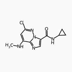 CNc1cc(Cl)nn2c(C(=O)NC3CC3)cnc12